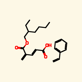 C=C(C=CC(=O)O)C(=O)OCC(CC)CCCC.C=Cc1ccccc1